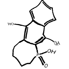 O=P1(O)CCCCc2c1c(O)c1ccccc1c2O